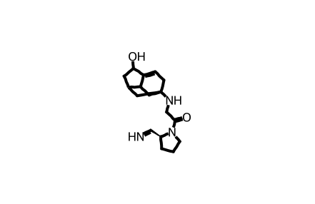 N=C[C@@H]1CCCN1C(=O)CNC12CC=C3C(O)CC(C1)C3C2